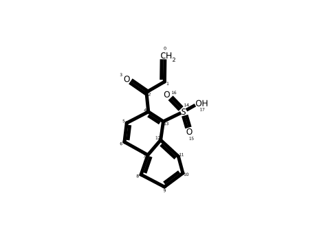 C=CC(=O)c1ccc2ccccc2c1S(=O)(=O)O